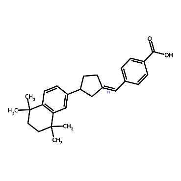 CC1(C)CCC(C)(C)c2cc(C3CC/C(=C\c4ccc(C(=O)O)cc4)C3)ccc21